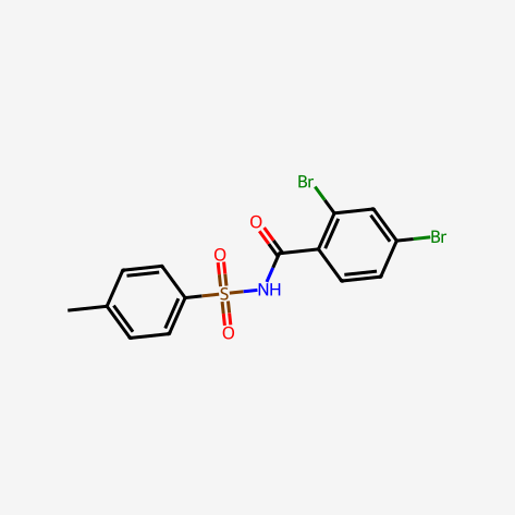 Cc1ccc(S(=O)(=O)NC(=O)c2ccc(Br)cc2Br)cc1